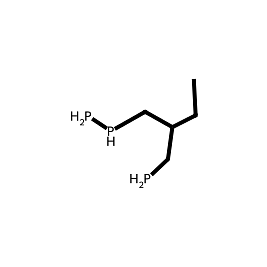 CCC(CP)CPP